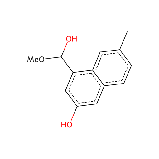 COC(O)c1cc(O)cc2ccc(C)cc12